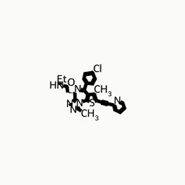 CCNC(=O)C[C@@H]1N=C(c2ccc(Cl)cc2)c2c(sc(C#Cc3ccccn3)c2C)-n2c(C)nnc21